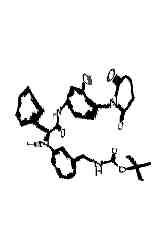 CC(C)(C)OC(=O)NCc1cccc(NC(C(=O)Nc2ccc(N3C(=O)CCC3=O)c(Cl)c2)c2ccccc2)c1